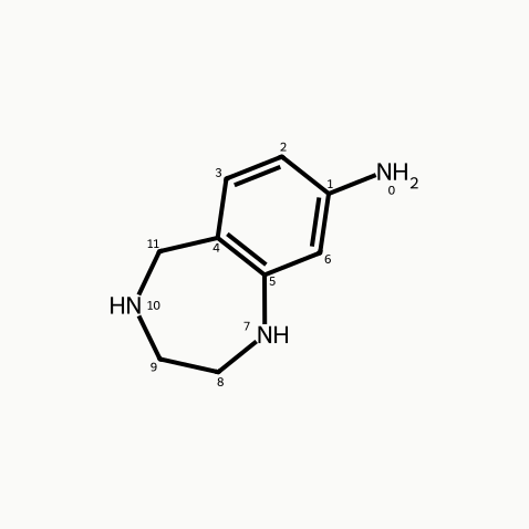 Nc1ccc2c(c1)NCCNC2